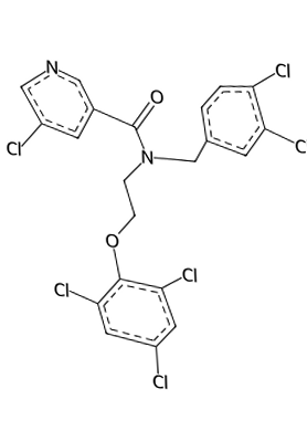 O=C(c1cncc(Cl)c1)N(CCOc1c(Cl)cc(Cl)cc1Cl)Cc1ccc(Cl)c(Cl)c1